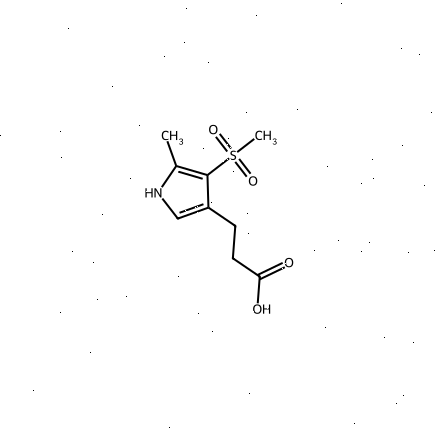 Cc1[nH]cc(CCC(=O)O)c1S(C)(=O)=O